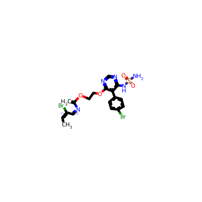 C=C(/N=C\C(Br)=C/C)OCCOc1ncnc(NS(N)(=O)=O)c1-c1ccc(Br)cc1